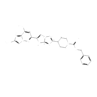 Cc1cn2nc(-c3cn4nc(C5CCN(C(=O)OCc6ccccc6)CC5)nc4s3)cc(C)c2n1